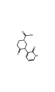 O=C1CCN(C(=O)O)CC1c1ccc[nH]c1=O